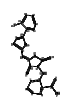 O=C(O)c1ccccc1NN1C(=O)C(=Cc2ccc(-c3ccccc3F)o2)SC1=S